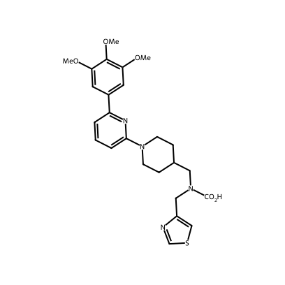 COc1cc(-c2cccc(N3CCC(CN(Cc4cscn4)C(=O)O)CC3)n2)cc(OC)c1OC